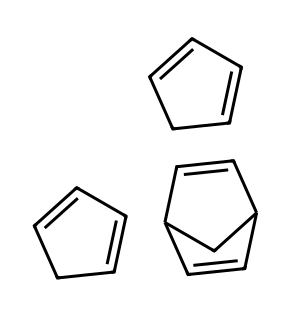 C1=CC2C=CC1C2.C1=CCC=C1.C1=CCC=C1